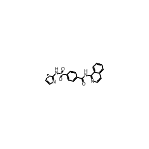 O=C(Nc1nccc2ccccc12)c1ccc(S(=O)(=O)Nc2nccs2)cc1